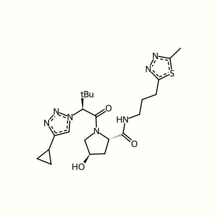 Cc1nnc(CCCNC(=O)[C@@H]2C[C@@H](O)CN2C(=O)[C@@H](n2cc(C3CC3)nn2)C(C)(C)C)s1